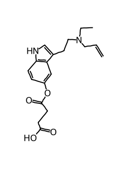 C=CCN(CC)CCc1c[nH]c2ccc(OC(=O)CCC(=O)O)cc12